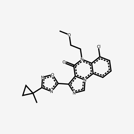 COCCn1c(=O)c2c(-c3nc(C4(C)CC4)no3)ncn2c2cccc(Cl)c21